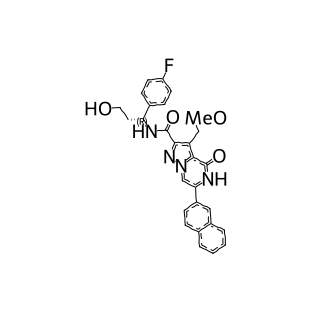 COCc1c(C(=O)N[C@H](CCO)c2ccc(F)cc2)nn2cc(-c3ccc4ccccc4c3)[nH]c(=O)c12